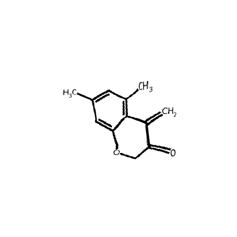 C=C1C(=O)COc2cc(C)cc(C)c21